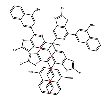 CC(C)(C)c1cc(-c2n[c]([Ir-2]([Cl])([c]3cc4nc(Cl)sc4c(-c4cc(C(C)(C)C)c5ccccc5c4)n3)([c]3cc4nc(Cl)sc4c(-c4cc(C(C)(C)C)c5ccccc5c4)n3)[c]3cc4nc(Cl)sc4c(-c4cc(C(C)(C)C)c5ccccc5c4)n3)cc3nc(Cl)sc23)cc2ccccc12